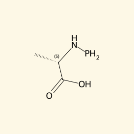 C[C@H](NP)C(=O)O